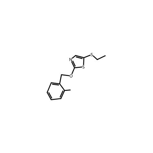 CCSc1cnc(OCc2ccccc2C)s1